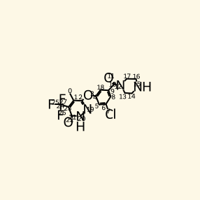 Cc1c(Oc2cc(Cl)cc(C(=O)N3CCNCC3)c2)n[nH]c(=O)c1C(F)(F)F